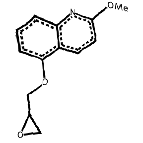 COc1ccc2c(OCC3CO3)cccc2n1